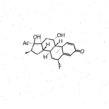 CC(=O)[C@@]1(O)[C@H](C)C[C@H]2[C@@H]3C[C@H](F)C4=CC(=O)C=C[C@]4(C)[C@H]3[C@@H](O)C[C@@]21C